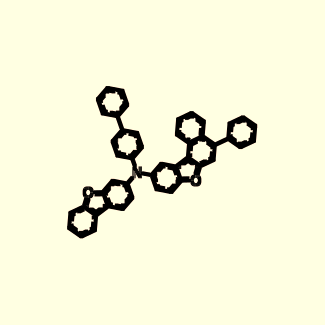 c1ccc(-c2ccc(N(c3ccc4c(c3)oc3ccccc34)c3ccc4oc5cc(-c6ccccc6)c6ccccc6c5c4c3)cc2)cc1